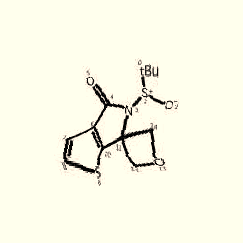 CC(C)(C)[S+]([O-])N1C(=O)c2ccsc2C12COC2